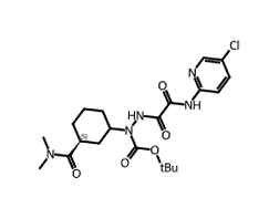 CN(C)C(=O)[C@H]1CCCC(N(NC(=O)C(=O)Nc2ccc(Cl)cn2)C(=O)OC(C)(C)C)C1